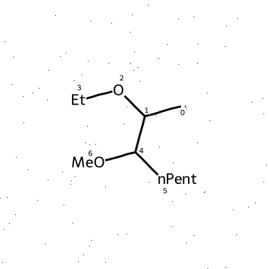 [CH2]C(OCC)C(CCCCC)OC